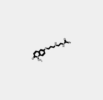 CC(C)C(=O)NCCNCCCOc1ccc2c(ccc(=O)n2C)c1